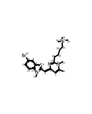 CC1=C/C(=C/c2sc3cc(Br)ccc3[n+]2C)N=C(CCCC[N+](C)(C)C)N1C